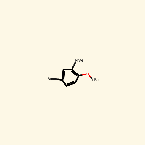 CCCCOc1ccc(C(C)(C)C)cc1NC